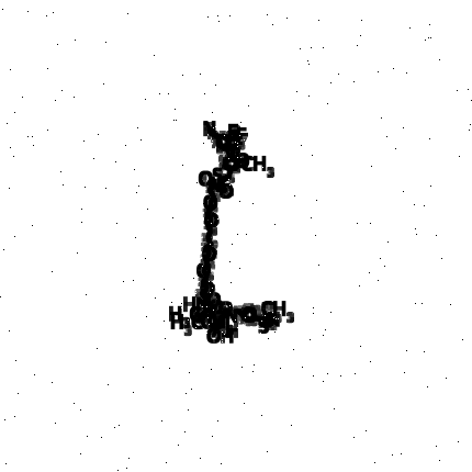 COc1cc(/C=C2\SC(=O)N(CCOCCOCCCCCOCCOCCOCC(=O)N[C@H](C(=O)N3C[C@H](O)CC3C(=O)NCc3ccc(-c4scnc4C)cc3)C(C)(C)C)C2=O)ccc1Oc1ccc(C#N)cc1C(F)(F)F